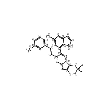 CC1(C)CCc2cc(CN(CCc3cccc(C(F)(F)F)c3)C(=O)c3cc(Cl)cc4cc[nH]c34)sc2C1